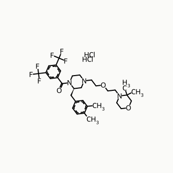 Cc1ccc(C[C@@H]2CN(CCOCCN3CCOCC3(C)C)CCN2C(=O)c2cc(C(F)(F)F)cc(C(F)(F)F)c2)cc1C.Cl.Cl